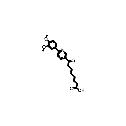 COc1ccc(-c2ccc(C(=O)CCCCCCC(=O)O)cn2)cc1OC